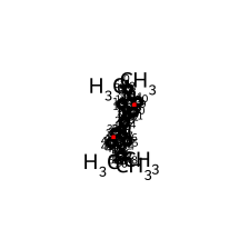 Cc1ccc(N(c2ccccc2)c2cccc3c2c2cccc4c5cc6c(cc5n3c42)c2cccc3c4c(N(c5ccccc5)c5cc(C)c(C)c(C)c5)cccc4n6c23)cc1C